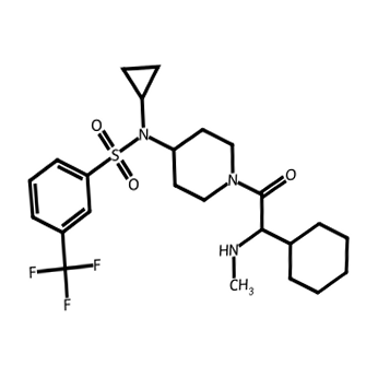 CNC(C(=O)N1CCC(N(C2CC2)S(=O)(=O)c2cccc(C(F)(F)F)c2)CC1)C1CCCCC1